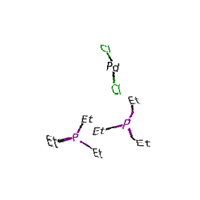 CCP(CC)CC.CCP(CC)CC.[Cl][Pd][Cl]